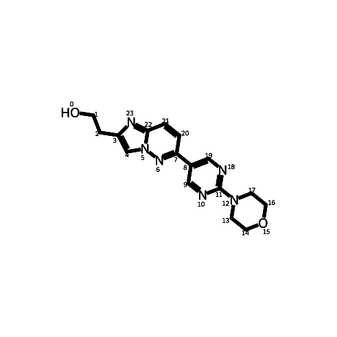 OCCc1cn2nc(-c3cnc(N4CCOCC4)nc3)ccc2n1